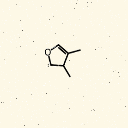 CC1=CO[C]C1C